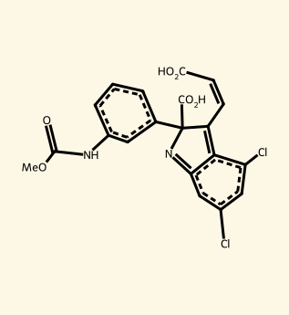 COC(=O)Nc1cccc(C2(C(=O)O)N=c3cc(Cl)cc(Cl)c3=C2/C=C\C(=O)O)c1